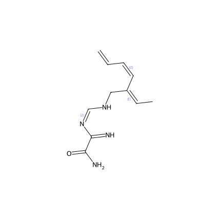 C=C/C=C\C(=C/C)CN/C=N\C(=N)C(N)=O